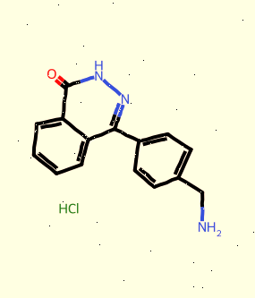 Cl.NCc1ccc(-c2n[nH]c(=O)c3ccccc23)cc1